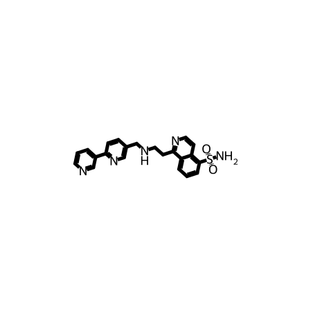 NS(=O)(=O)c1cccc2c(CCNCc3ccc(-c4cccnc4)nc3)nccc12